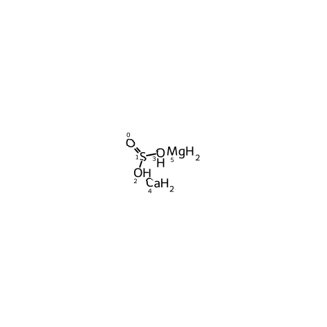 O=S(O)O.[CaH2].[MgH2]